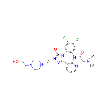 CCCN(CCC)CC(=O)N1c2cc(Cl)c(Cl)cc2-n2c(nn(CCN3CCN(CCO)CC3)c2=O)-c2cccnc21